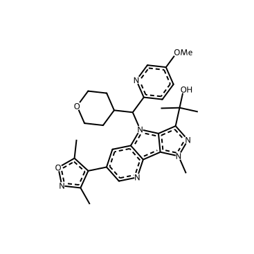 COc1ccc(C(C2CCOCC2)n2c3cc(-c4c(C)noc4C)cnc3c3c2c(C(C)(C)O)nn3C)nc1